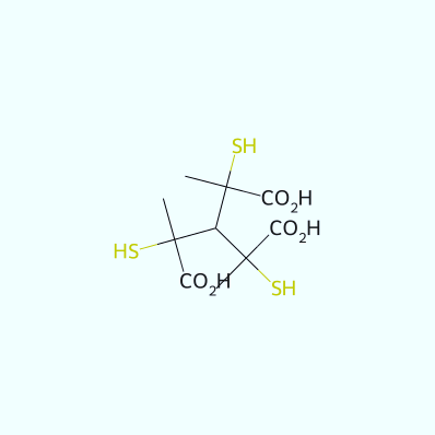 CC(S)(C(=O)O)C(C(C)(S)C(=O)O)C(C)(S)C(=O)O